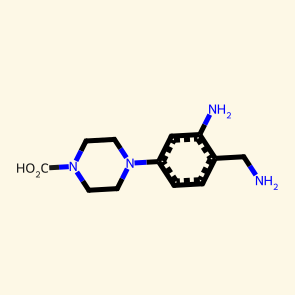 NCc1ccc(N2CCN(C(=O)O)CC2)cc1N